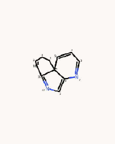 [C]1=C2N=CC=CC23CCC=CC3=N1